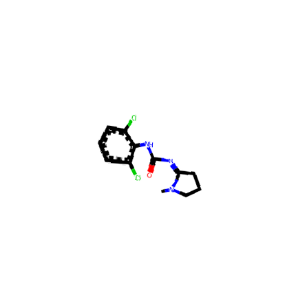 CN1CCC/C1=N/C(=O)Nc1c(Cl)cccc1Cl